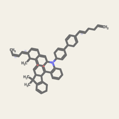 C=CCC/C=C/C1=CCC(C2=CCC(N(C3=C(C4=CC=CC5C4C4=C(C=CCC4)C5(C)C)C=CCC3)C3C=C4C=C/C(=C/C=C\C)C(C)C4=CC3)C=C2)C=C1